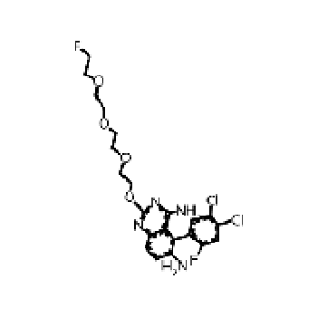 Nc1ccc2nc(OCCOCCOCCOCCF)nc(N)c2c1-c1cc(Cl)c(Cl)cc1F